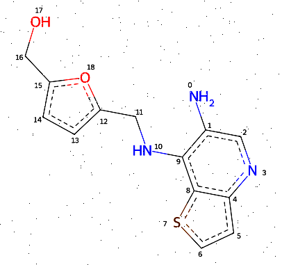 Nc1cnc2ccsc2c1NCc1ccc(CO)o1